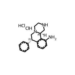 Cl.Cl.Nc1cccc2c1[C@@H]1CNCCN1C[C@H]2c1ccccc1